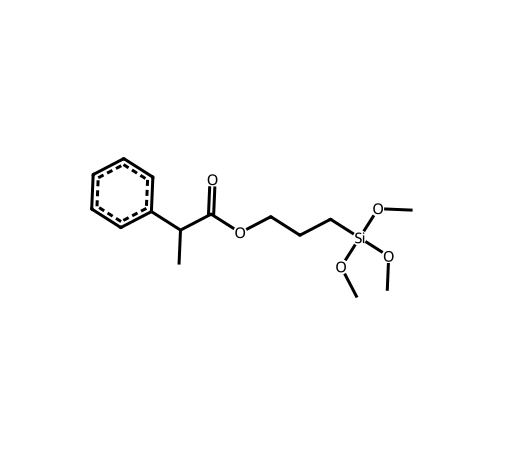 CO[Si](CCCOC(=O)C(C)c1ccccc1)(OC)OC